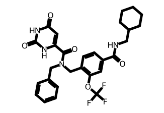 O=C(NCC1CCCCC1)c1ccc(CN(Cc2ccccc2)C(=O)c2cc(=O)[nH]c(=O)[nH]2)c(OC(F)(F)F)c1